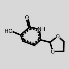 O=c1[nH]c(C2OCCO2)ccc1O